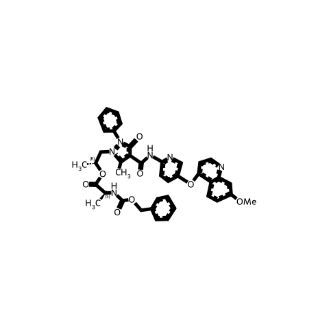 COc1ccc2c(Oc3ccc(NC(=O)c4c(C)n(C[C@@H](C)OC(=O)[C@H](C)NC(=O)OCc5ccccc5)n(-c5ccccc5)c4=O)nc3)ccnc2c1